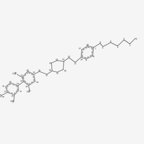 CCCCCCCc1ccc(CCC2CCC(CCc3cc(F)c(-c4ccc(Cl)c(F)c4)c(F)c3)CC2)cc1